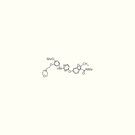 CNC(=O)c1c(C)oc2cc(Oc3ccnc(Nc4ccc(OC)c(OCCN5CCOCC5)c4)n3)ccc12